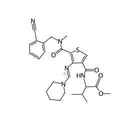 COC(=O)C(NC(=O)c1csc(C(=O)N(C)Cc2ccccc2C#N)c1/N=C/N1CCCCC1)C(C)C